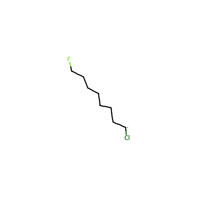 FCCCCCCC[CH]Cl